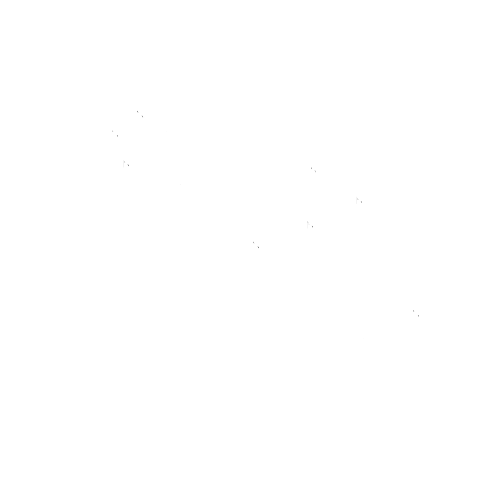 CC(=O)NC1CCC(Nc2ncc3c(-c4ccc5nnn(CC(F)F)c5c4)c[nH]c3n2)CC1